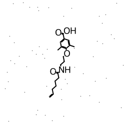 C=CCCCCC(=O)NCCCOc1c(C)cc(C(=O)O)cc1C